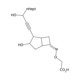 CCCCCCCC(O)C#CC1C(O)CC2C(=NOCC(=O)O)CC21